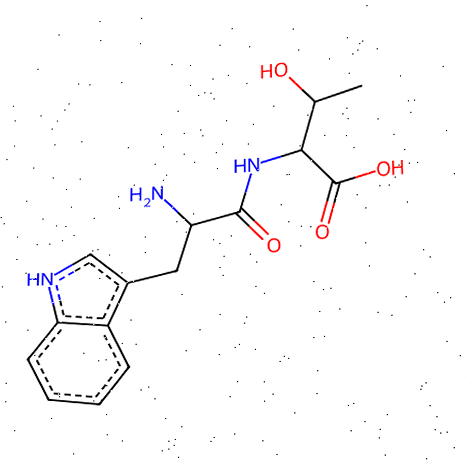 CC(O)C(NC(=O)C(N)Cc1c[nH]c2ccccc12)C(=O)O